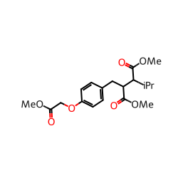 COC(=O)COc1ccc(CC(C(=O)OC)C(C(=O)OC)C(C)C)cc1